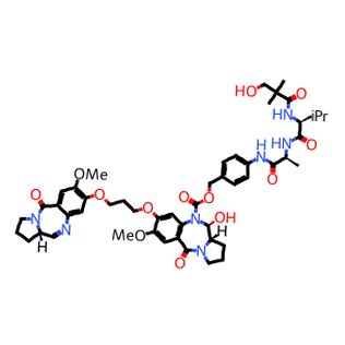 COc1cc2c(cc1OCCCOc1cc3c(cc1OC)C(=O)N1CCC[C@H]1[C@H](O)N3C(=O)OCc1ccc(NC(=O)[C@H](C)NC(=O)[C@@H](NC(=O)C(C)(C)CO)C(C)C)cc1)N=C[C@@H]1CCCN1C2=O